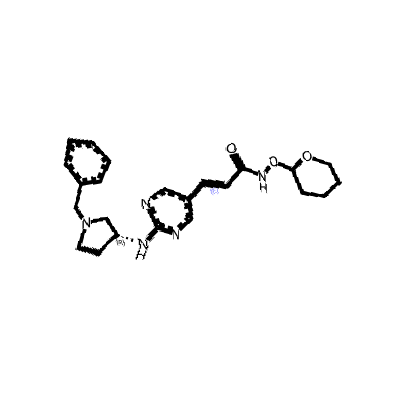 O=C(/C=C/c1cnc(N[C@@H]2CCN(Cc3ccccc3)C2)nc1)NOC1CCCCO1